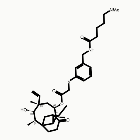 C=C[C@]1(C)C[C@@H](OC(=O)CSc2cccc(CNC(=O)CCCCNC)c2)[C@]2(C)C(C)CC34CC(CCC3=O)(C42)[C@@H](C)[C@@H]1O